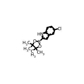 CC1(C)OB(c2cc3cc(Cl)ccc3[nH]2)OC1(C)C